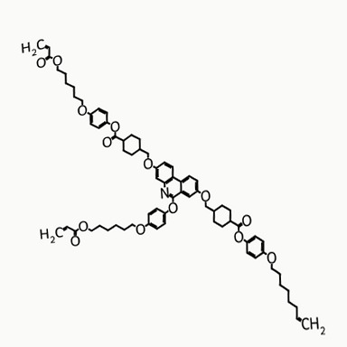 C=CCCCCCCOc1ccc(OC(=O)C2CCC(COc3ccc4c(c3)c(Oc3ccc(OCCCCCCOC(=O)C=C)cc3)nc3cc(OCC5CCC(C(=O)Oc6ccc(OCCCCCCOC(=O)C=C)cc6)CC5)ccc34)CC2)cc1